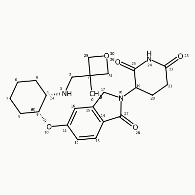 CC1(CN[C@H]2CCCC[C@H]2Oc2ccc3c(c2)CN(C2CCC(=O)NC2=O)C3=O)COC1